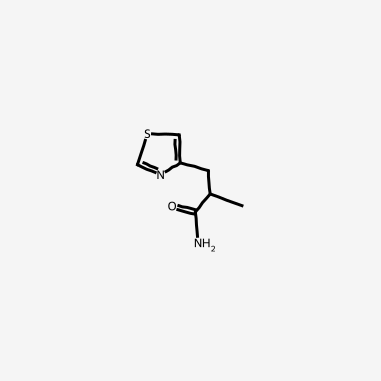 CC(Cc1cscn1)C(N)=O